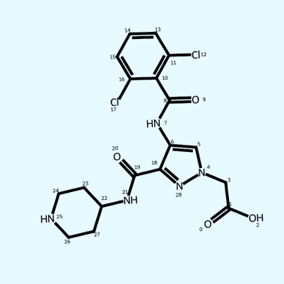 O=C(O)Cn1cc(NC(=O)c2c(Cl)cccc2Cl)c(C(=O)NC2CCNCC2)n1